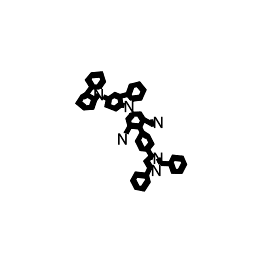 N#Cc1cc(-n2c3ccccc3c3cc(-n4c5ccccc5c5ccccc54)ccc32)cc(C#N)c1-c1ccc(-c2cc(-c3ccccc3)nc(-c3ccccc3)n2)cc1